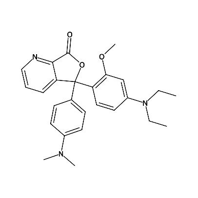 CCN(CC)c1ccc(C2(c3ccc(N(C)C)cc3)OC(=O)c3ncccc32)c(OC)c1